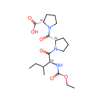 CCOC(=O)N[C@H](C(=O)N1CCC[C@H]1C(=O)N1CCC[C@H]1C(=O)O)C(C)CC